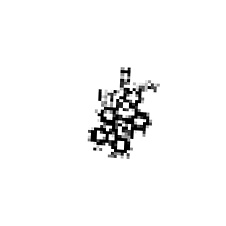 CCCN(CC(O)c1cccc2nn(C(c3ccccc3)(c3ccccc3)c3ccccc3)cc12)[C@@H](C)CO